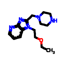 CCOCCn1c(CN2CCNCC2)nc2ncccc21